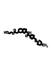 CN1CCN(N=Cc2ccc(C(=O)Nc3ccc4c(c3)CC(CC(=O)OCCO)CC4)cc2)CC1